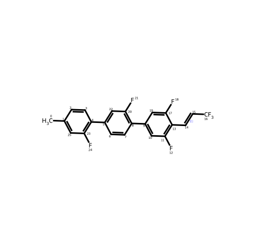 Cc1ccc(-c2ccc(-c3cc(F)c(/C=C/C(F)(F)F)c(F)c3)c(F)c2)c(F)c1